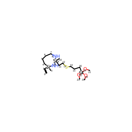 C=C[Si]1(C)CCCCN[Si](C)(CCSCCC[Si](OC)(OC)OC)N1